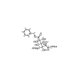 CCCCCCCC(O)(C(=O)NCCCCCC)C(O)(O)C(O)(O)C(=O)OCc1ccccc1